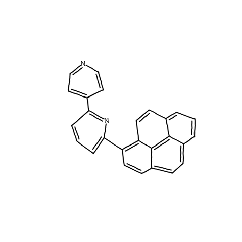 c1cc(-c2ccncc2)nc(-c2ccc3ccc4cccc5ccc2c3c45)c1